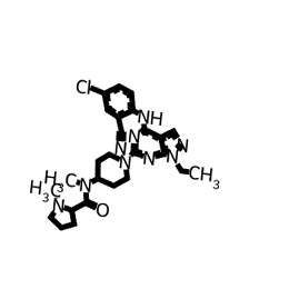 CCn1ncc2c(Nc3ccc(Cl)cc3C#N)nc(N3CCC(N(C)C(=O)C4CCCN4C)CC3)nc21